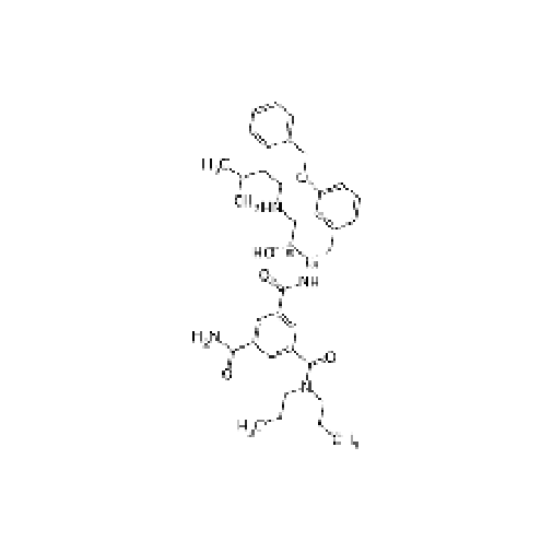 CCCN(CCC)C(=O)c1cc(C(N)=O)cc(C(=O)N[C@@H](Cc2cccc(OCc3ccccc3)c2)[C@H](O)CNCCC(C)C)c1